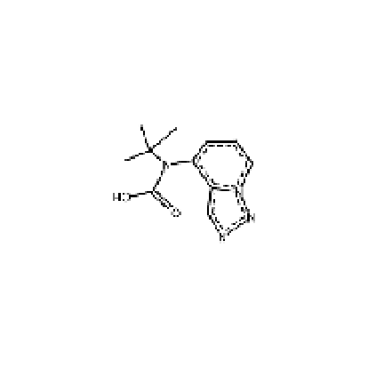 CC(C)(C)N(C(=O)O)c1cccn2nncc12